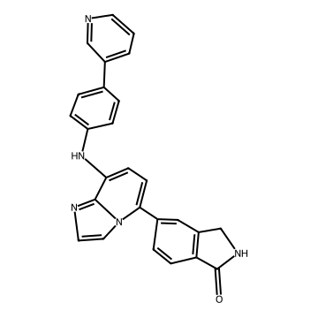 O=C1NCc2cc(-c3ccc(Nc4ccc(-c5cccnc5)cc4)c4nccn34)ccc21